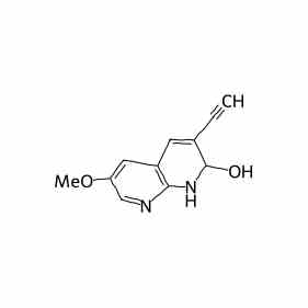 C#CC1=Cc2cc(OC)cnc2NC1O